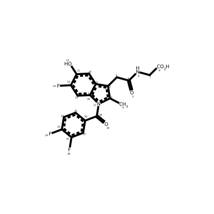 Cc1c(CC(=O)NCC(=O)O)c2cc(O)c(F)cc2n1C(=O)c1ccc(F)c(F)c1